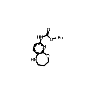 CC(C)(C)OC(=O)Nc1ccc2c(n1)OCCCN2